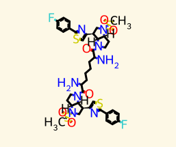 CS(=O)(=O)N1C[C@H](c2csc(-c3ccc(F)cc3)n2)[C@@H]2[C@H]1CCN2C(=O)C(N)CCCCC(N)C(=O)N1CC[C@@H]2[C@H]1[C@@H](c1csc(-c3ccc(F)cc3)n1)CN2S(C)(=O)=O